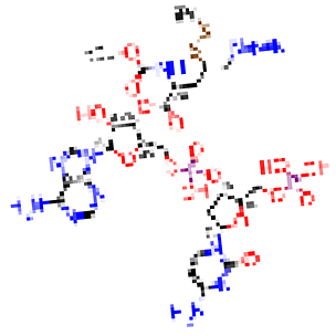 CC(C)SSC(CN=[N+]=[N-])C[C@H](NC(=O)OC(C)(C)C)C(=O)O[C@H]1[C@@H](O)[C@H](n2cnc3c(N)ncnc32)O[C@@H]1COP(=O)(O)O[C@H]1C[C@H](n2ccc(N)nc2=O)O[C@@H]1COP(=O)(O)O